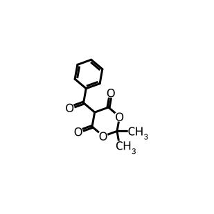 CC1(C)OC(=O)C(C(=O)c2ccccc2)C(=O)O1